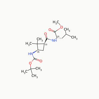 COC(=O)[C@H](CC(C)C)NC(=O)[C@H]1C[C@@H](NC(=O)OC(C)(C)C)C1(C)C